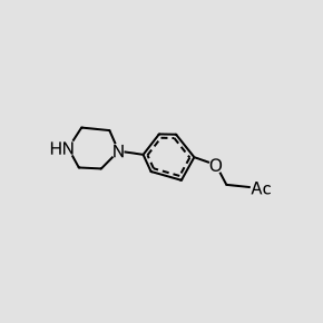 CC(=O)COc1ccc(N2CCNCC2)cc1